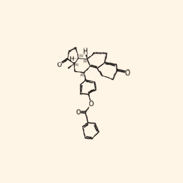 C[C@]12C[C@H](c3ccc(OC(=O)c4ccccc4)cc3)C3=C4CCC(=O)C=C4CC[C@H]3[C@@H]1CCC2=O